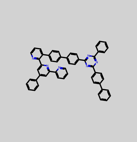 c1ccc(-c2ccc(-c3nc(-c4ccccc4)nc(-c4ccc(-c5ccc(-c6cccnc6-c6cc(-c7ccccc7)cc(-c7ccccn7)n6)cc5)cc4)n3)cc2)cc1